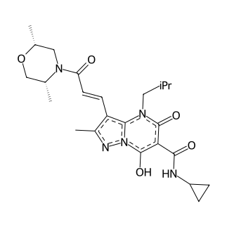 Cc1nn2c(O)c(C(=O)NC3CC3)c(=O)n(CC(C)C)c2c1/C=C/C(=O)N1C[C@@H](C)OC[C@H]1C